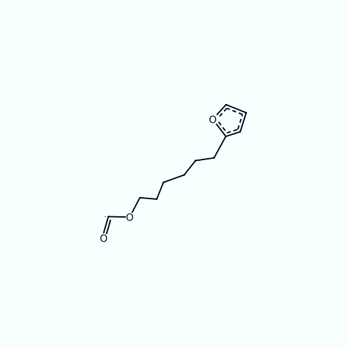 O=[C]OCCCCCCc1ccco1